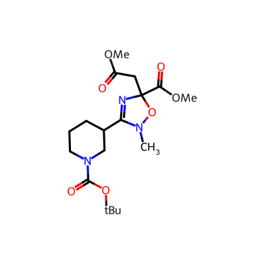 COC(=O)CC1(C(=O)OC)N=C(C2CCCN(C(=O)OC(C)(C)C)C2)N(C)O1